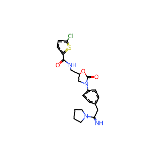 N=C(Cc1ccc(N2CC(CNC(=O)c3ccc(Cl)s3)OC2=O)cc1)N1CCCC1